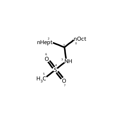 CCCCCCCCC(CCCCCCC)NS(C)(=O)=O